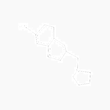 Nc1ccc2cc(CN3CCCC3)ccc2c1